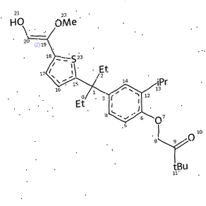 CCC(CC)(c1ccc(OCC(=O)C(C)(C)C)c(C(C)C)c1)c1ccc(/C(=C/O)OC)s1